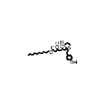 CCCCCCCCCCOC(=O)CC(O)C[C@@H](O)CC1(CCc2ccc(O)cc2)SCCCS1